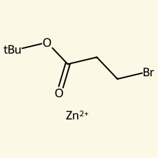 CC(C)(C)OC(=O)CCBr.[Zn+2]